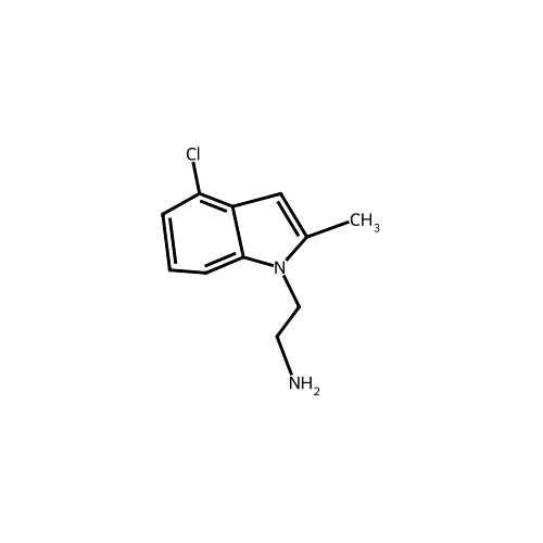 Cc1cc2c(Cl)cccc2n1CCN